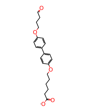 [O]C(=O)CCCCCOc1ccc(-c2ccc(OCCCC=O)cc2)cc1